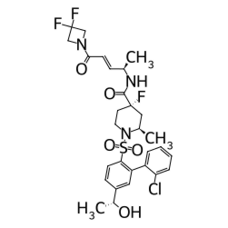 C[C@H](/C=C/C(=O)N1CC(F)(F)C1)NC(=O)[C@]1(F)CCN(S(=O)(=O)c2ccc([C@@H](C)O)cc2-c2ccccc2Cl)[C@H](C)C1